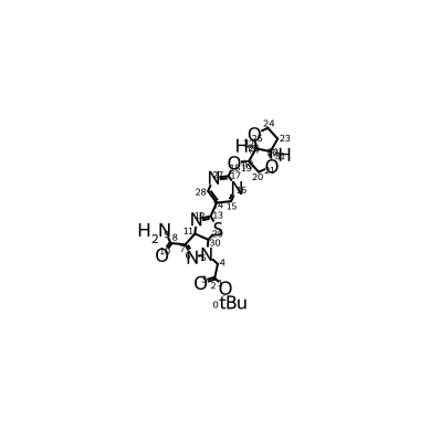 CC(C)(C)OC(=O)CN1N=C(C(N)=O)C2N=C(c3cnc(O[C@@H]4CO[C@@H]5CCO[C@@H]54)nc3)SC21